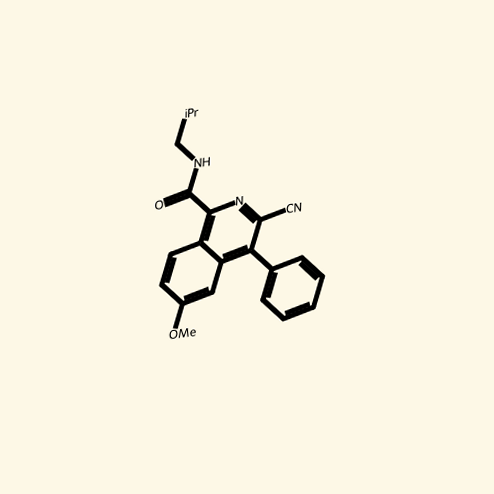 COc1ccc2c(C(=O)NCC(C)C)nc(C#N)c(-c3ccccc3)c2c1